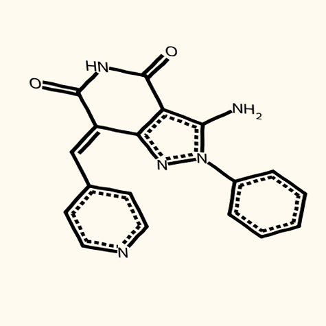 Nc1c2c(nn1-c1ccccc1)/C(=C\c1ccncc1)C(=O)NC2=O